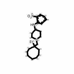 CCC1(CN2CCC(Nc3ccccc3[N+](=O)[O-])CC2)CCCCCCC1